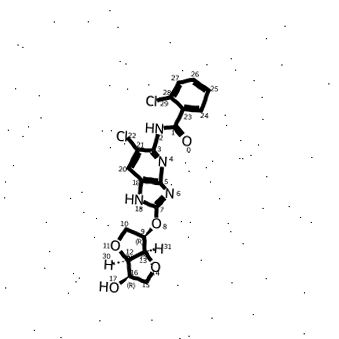 O=C(Nc1nc2nc(O[C@@H]3CO[C@H]4[C@@H]3OC[C@H]4O)[nH]c2cc1Cl)c1ccccc1Cl